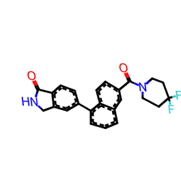 O=C1NCc2cc(-c3cccc4cc(C(=O)N5CCC(F)(F)CC5)ccc34)ccc21